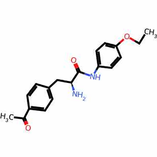 CCOc1ccc(NC(=O)[C@@H](N)Cc2ccc(C(C)=O)cc2)cc1